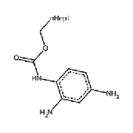 CCCCCCCCOC(=O)Nc1ccc(N)cc1N